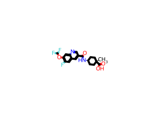 C[C@]1(C(=O)O)CC[C@H](NC(=O)c2cnc3cc(OC(F)F)c(F)cc3c2)CC1